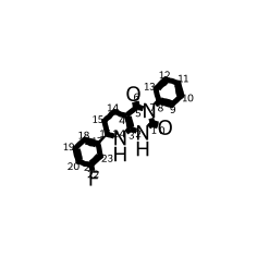 O=c1[nH]c2c(c(=O)n1-c1ccccc1)CC[C@H](c1cccc(F)c1)N2